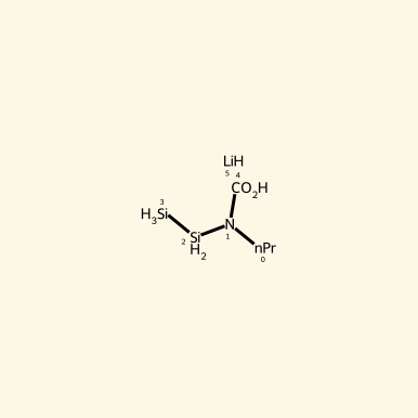 CCCN([SiH2][SiH3])C(=O)O.[LiH]